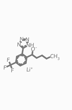 CCCCC([O-])c1ccc(C(F)(F)F)cc1-c1nnn[nH]1.[Li+]